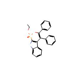 CCOP1(=O)OC(c2ccccc2)=C(c2ccccc2)c2c1[nH]c1ccccc21